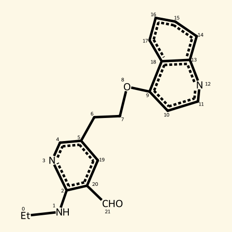 CCNc1ncc(CCOc2ccnc3ccccc23)cc1C=O